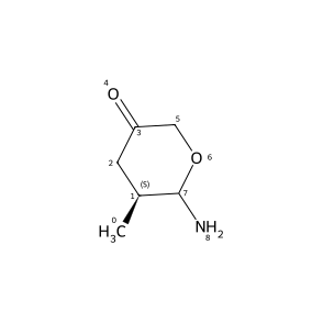 C[C@H]1CC(=O)COC1N